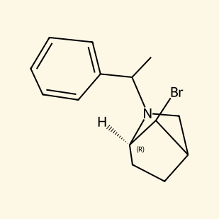 CC(c1ccccc1)N1CC2CC[C@@H]1C2Br